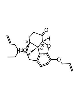 C=CCOc1ccc2c3c1O[C@H]1C(=O)CC[C@@](O)([C@H](N(CC)CC=C)C2)[C@@]31C